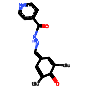 CC(C)(C)C1=CC(=C/N=N/C(=O)c2ccncc2)C=C(C(C)(C)C)C1=O